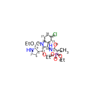 CCOC(=O)n1c(C(=O)C2CCNC2)c(NC(=O)C(C)P(=O)(OCC)OCC)c2cc(Cl)ccc21